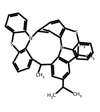 CC(C)c1cc(C(C)C)c2c(c1)C(C)c1cccc3c1N(c1ccc4c(c1)B2c1ccccc1S4)c1ccccc1S3